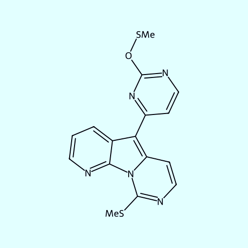 CSOc1nccc(-c2c3cccnc3n3c(SC)nccc23)n1